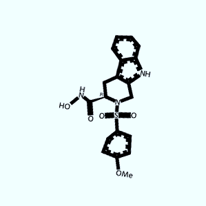 COc1ccc(S(=O)(=O)N2Cc3[nH]c4ccccc4c3C[C@@H]2C(=O)NO)cc1